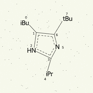 CCC(C)c1[nH]c(C(C)C)nc1C(C)(C)C